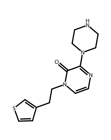 O=c1c(N2CCNCC2)nccn1CCc1ccsc1